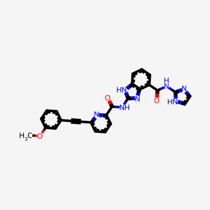 COc1cccc(C#Cc2cccc(C(=O)Nc3nc4c(C(=O)Nc5ncc[nH]5)cccc4[nH]3)n2)c1